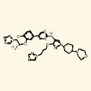 CC(Cn1cnnn1)Oc1cc(-c2cnc(Nc3cn(C4CCC(N5CCOCC5)CC4)nc3OCCCn3cncn3)nc2)ccc1Cl